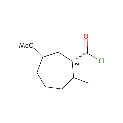 COC1CCCC(C)[C@@H](C(=O)Cl)C1